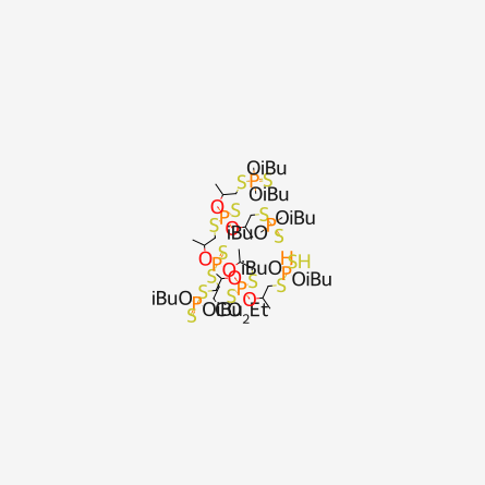 CCOC(=O)CCSP(=S)(OC(C)CSP(=S)(OC(C)CSP(=S)(OCC(C)C)OCC(C)C)OC(C)CSP(=S)(OCC(C)C)OCC(C)C)OC(C)CSP(=S)(OC(C)CSP(=S)(OCC(C)C)OCC(C)C)OC(C)CS[PH](S)(OCC(C)C)OCC(C)C